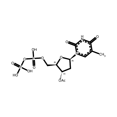 CC(=O)O[C@H]1C[C@H](n2cc(C)c(=O)[nH]c2=O)O[C@@H]1COP(=O)(O)OP(=O)(O)O